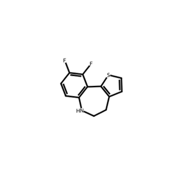 Fc1ccc2c(c1F)-c1sccc1CCN2